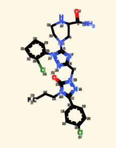 NC(=O)C1CN(c2nc(Cn3nc(-c4ccc(Cl)cc4)n(CCC(F)(F)F)c3=O)nn2-c2ccccc2Cl)CCN1